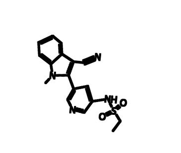 CCS(=O)(=O)Nc1cncc(-c2c(C#N)c3ccccc3n2C)c1